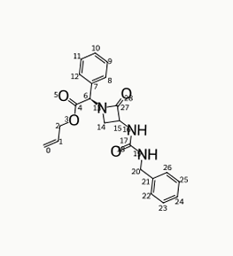 C=CCOC(=O)[C@@H](c1ccccc1)N1CC(NC(=O)NCc2ccccc2)C1=O